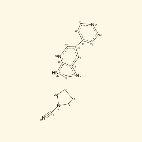 N#CN1CCC(c2nc3cc(-c4ccncc4)cnc3[nH]2)C1